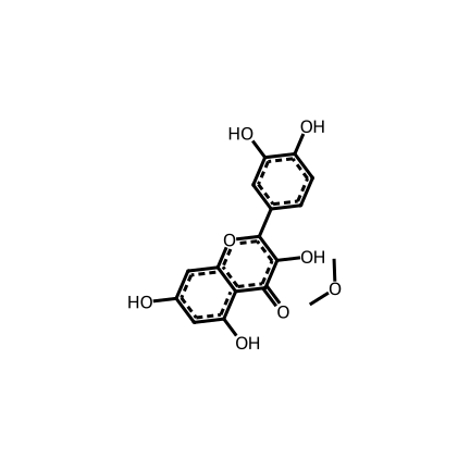 COC.O=c1c(O)c(-c2ccc(O)c(O)c2)oc2cc(O)cc(O)c12